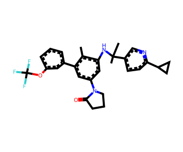 Cc1c(NC(C)(C)c2ccc(C3CC3)nc2)cc(N2CCCC2=O)cc1-c1cccc(OC(F)(F)F)c1